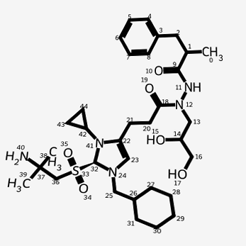 CC(Cc1ccccc1)C(=O)NN(CC(O)CO)C(=O)CCC1=CN(CC2CCCCC2)[C@@H](S(=O)(=O)CC(C)(C)N)N1C1CC1